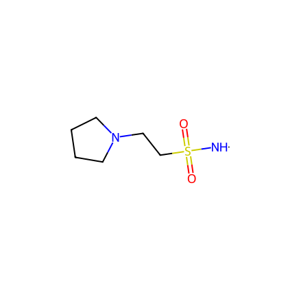 [NH]S(=O)(=O)CCN1CCCC1